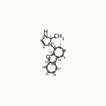 CC1NC=CN1c1cccc2c1oc1ccccc12